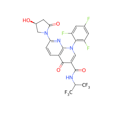 O=C(NC(C(F)(F)F)C(F)(F)F)c1cn(-c2c(F)cc(F)cc2F)c2nc(N3C[C@@H](O)CC3=O)ccc2c1=O